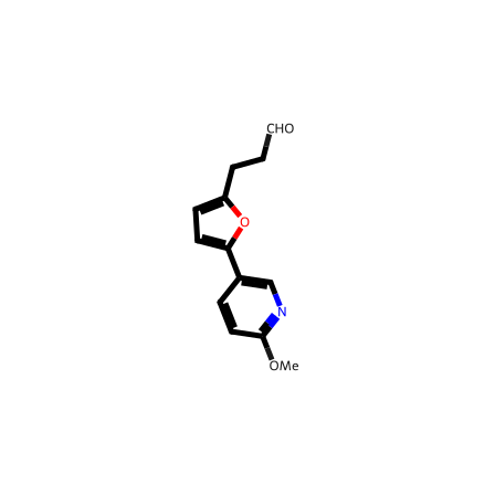 COc1ccc(-c2ccc(CCC=O)o2)cn1